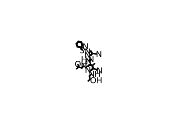 Cc1c(C#N)c(NCC(C)O)nc(NCC(C)O)c1N=Nc1nn(-c2nc3ccccc3s2)cc1C#N